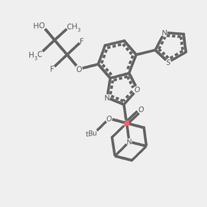 CC(C)(C)OC(=O)N1C2CC1CN(c1nc3c(OC(F)(F)C(C)(C)O)ccc(-c4nccs4)c3o1)C2